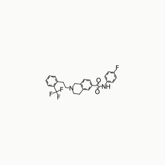 O=S(=O)(Nc1ccc(F)cc1)c1ccc2c(c1)CCN(CCc1ccccc1C(F)(F)F)C2